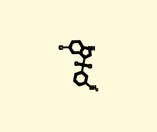 Nc1cccc(S(=O)(=O)c2c[nH]c3ccc(Cl)cc23)c1